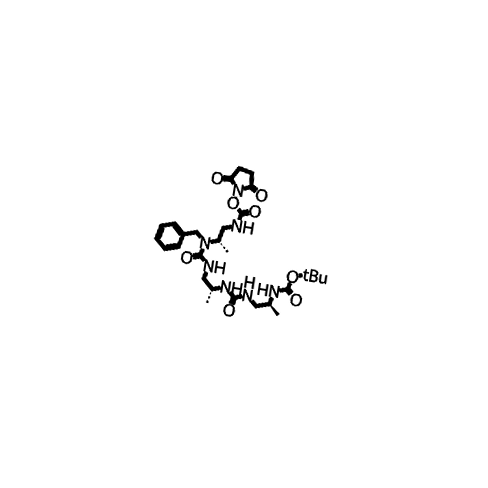 C[C@H](CNC(=O)N(Cc1ccccc1)[C@@H](C)CNC(=O)ON1C(=O)CCC1=O)NC(=O)NC[C@H](C)NC(=O)OC(C)(C)C